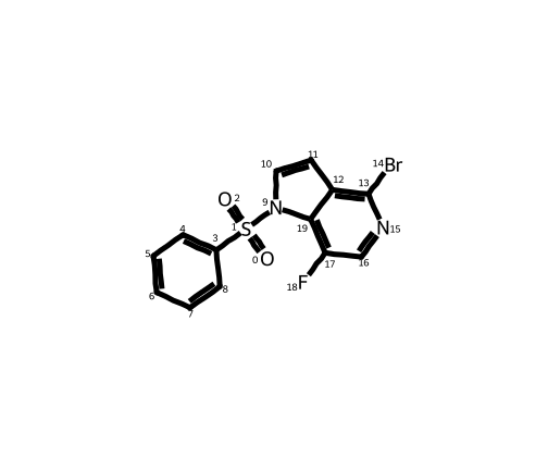 O=S(=O)(c1ccccc1)n1ccc2c(Br)ncc(F)c21